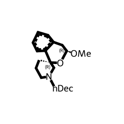 CCCCCCCCCCN1CCC[C@@]2(C1)O[C@@H](OC)Cc1ccccc12